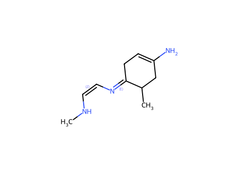 CN/C=C\N=C1/CC=C(N)CC1C